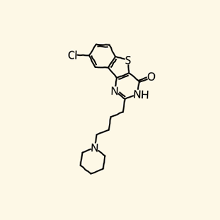 O=c1[nH]c(CCCCN2CCCCC2)nc2c1sc1ccc(Cl)cc12